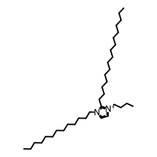 CCCCCCCCCCCCCCCCc1n(CCCCCCCCCCCCC)cc[n+]1CCCC